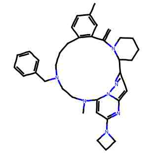 C=C1c2cc(C)ccc2CCCN(Cc2ccccc2)CCN(C)c2cc(N3CCC3)nc3cc(nn23)C2CCCCN12